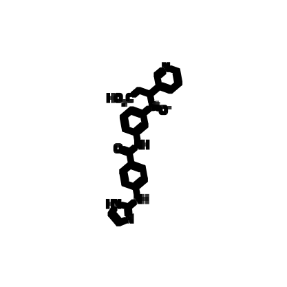 O=C(O)CC(c1cccnc1)[S+]([O-])c1cccc(NC(=O)c2ccc(Nc3ncc[nH]3)cc2)c1